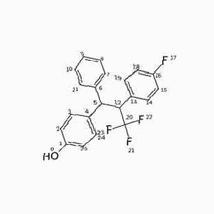 Oc1ccc(C(c2ccccc2)C(c2ccc(F)cc2)C(F)(F)F)cc1